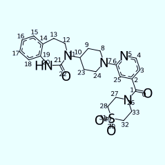 O=C(c1ccnc(N2CCC(N3CCc4ccccc4NC3=O)CC2)c1)N1CCS(=O)(=O)CC1